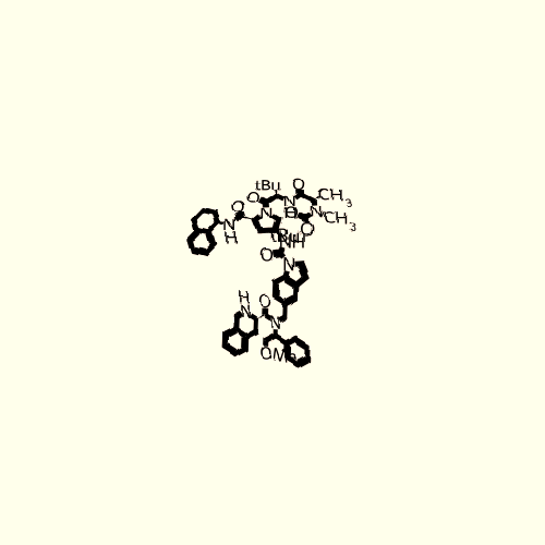 COCC(c1ccccc1)N(Cc1ccc2c(ccn2C(=O)N[C@H]2C[C@@H](C(=O)N[C@@H]3CCCc4ccccc43)N(C(=O)[C@@H](NC(=O)[C@H](C)N(C)C(=O)OC(C)(C)C)C(C)(C)C)C2)c1)C(=O)[C@@H]1Cc2ccccc2CN1